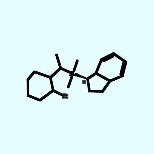 CCC1CCCCC1C(C)[Si](C)(C)[C@H]1CCC2C=CC=CC21